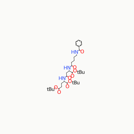 CC(C)(C)OC(=O)CCC(NC(=O)CC(NC(=O)CCCCNC(=O)c1ccccc1)C(=O)OC(C)(C)C)C(=O)OC(C)(C)C